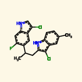 Cc1ccc2[nH]c(CC(C)c3cc4c(Cl)c[nH]c4cc3F)c(Cl)c2c1